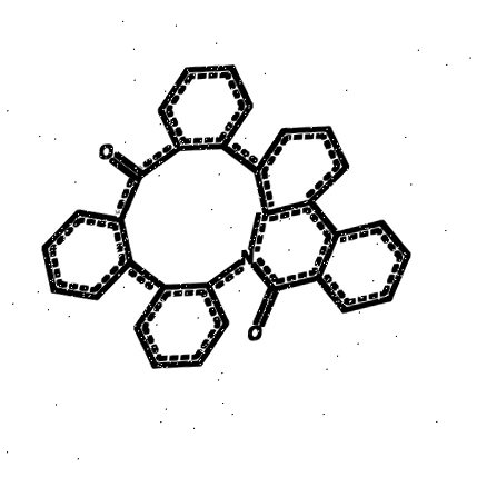 O=c1c2ccccc2c2ccccc2n2c(=O)c3ccccc3c3cccc(c4ccccc14)c32